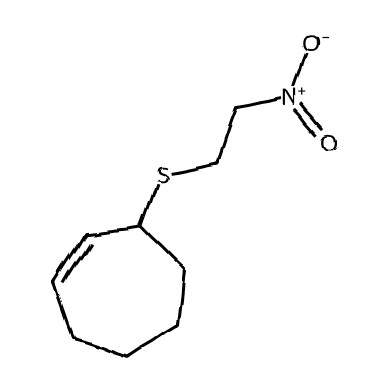 O=[N+]([O-])CCSC1C=CCCCC1